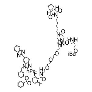 CCCc1nc2ccc(-c3nc4ccccc4n3C)cc2n1Cc1ccc(-c2ccccc2C(=O)Oc2cc(F)c(C(=O)NCCOCCOCCOCCn3cc(CN(CCCCCCN4C(=O)[C@@H]5C6C=CC(C6)[C@@H]5C4=O)C(=O)CCC(=O)NC(C)(C)CCOC(C)CC)nn3)c(F)c2)cc1